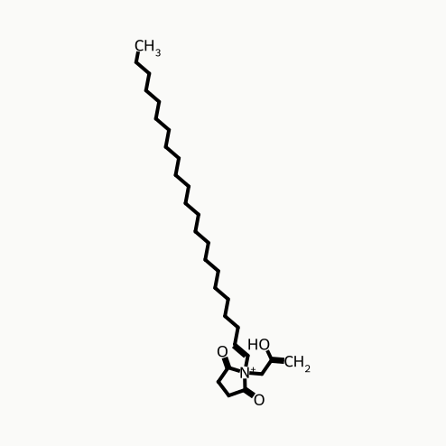 C=C(O)C[N+]1(C=CCCCCCCCCCCCCCCCCCCCCC)C(=O)CCC1=O